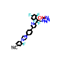 N#Cc1ccc(N2CCN(c3ccc(-c4ccc(C(F)(F)C(O)(Cn5cnnn5)c5ccc(F)cc5F)nc4)cc3)CC2)c(F)c1